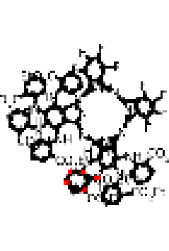 CCOC(=O)c1ccccc1Nc1c(Nc2ccccc2C(=O)OCC)c(Nc2ccccc2C(=O)OCC)c2c(c1Nc1ccccc1C(=O)OCC)-c1nc-2nc2[nH]c(nc3nc(nc4[nH]c(n1)c1c(F)c(F)c(F)c(F)c41)-c1c(F)c(F)c(F)c(F)c1-3)c1c(Nc3ccccc3C(=O)OCC)c(Nc3ccccc3C(=O)OCC)c(Nc3ccccc3C(=O)OCC)c(Nc3ccccc3C(=O)OCC)c21